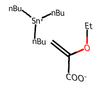 C=C(OCC)C(=O)[O-].CCC[CH2][Sn+]([CH2]CCC)[CH2]CCC